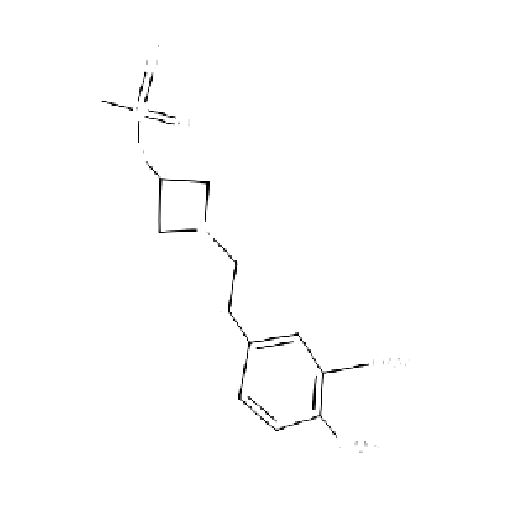 COc1ccc(CCN2CC(OS(C)(=O)=O)C2)cc1OC